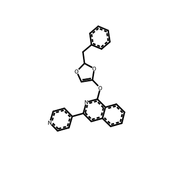 C1=C(Oc2nc(-c3ccncc3)cc3ccccc23)OC(Cc2ccccc2)O1